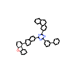 C1=CC2Oc3ccccc3C2C(c2ccc3cc(-c4nc(-c5cccc(-c6ccccc6)c5)nc(-c5ccc6ccc7ccccc7c6c5)n4)ccc3c2)=C1